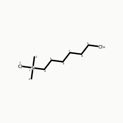 C[Si](C)(Cl)CCCCCCCl